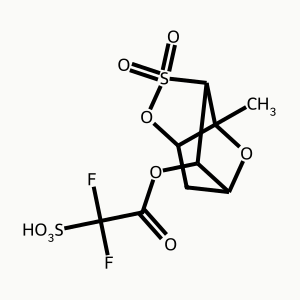 CC12OC3CC1OS(=O)(=O)C2C3OC(=O)C(F)(F)S(=O)(=O)O